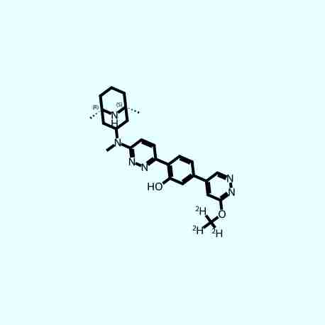 [2H]C([2H])([2H])Oc1cc(-c2ccc(-c3ccc(N(C)C4C[C@]5(C)CCC[C@](C)(C4)N5)nn3)c(O)c2)cnn1